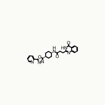 O=C(CCc1nc2ccccc2c(=O)[nH]1)N[C@H]1CC[C@H](c2nnc(-c3ccccn3)o2)CC1